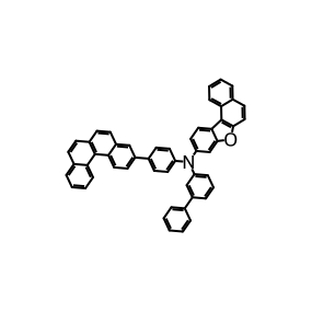 c1ccc(-c2cccc(N(c3ccc(-c4ccc5c(ccc6ccc7ccccc7c65)c4)cc3)c3ccc4c(c3)oc3ccc5ccccc5c34)c2)cc1